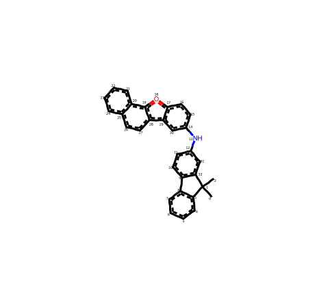 CC1(C)c2ccccc2-c2ccc(Nc3ccc4oc5c6ccccc6ccc5c4c3)cc21